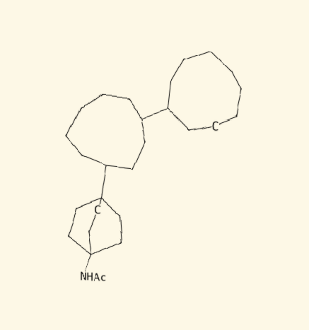 CC(=O)NC12CCC(C3CCCCCC(C4CCCCCCCC4)CC3)(CC1)CC2